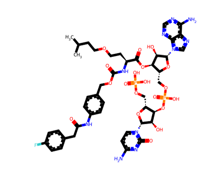 CC(C)CCOCC[C@H](NC(=O)OCc1ccc(NC(=O)Cc2ccc(F)cc2)cc1)C(=O)O[C@H]1[C@@H](O)[C@H](n2cnc3c(N)ncnc32)O[C@@H]1COP(=O)(O)O[C@H]1[C@@H](O)[C@H](n2ccc(N)nc2=O)O[C@@H]1COP(=O)(O)O